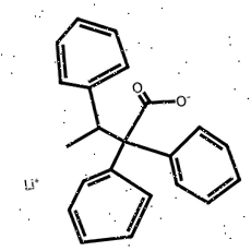 CC(c1ccccc1)C(C(=O)[O-])(c1ccccc1)c1ccccc1.[Li+]